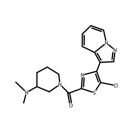 CN(C)C1CCCN(C(=O)c2nc(-c3cnn4ccccc34)c(Cl)s2)C1